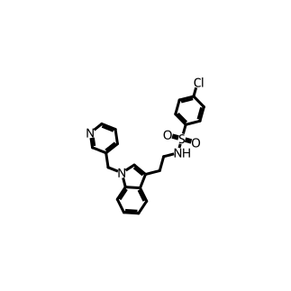 O=S(=O)(NCCc1cn(Cc2cccnc2)c2ccccc12)c1ccc(Cl)cc1